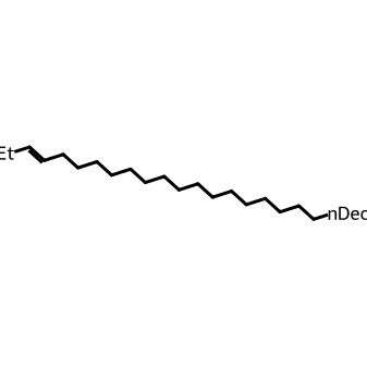 CCC=CCCCCCCCCCCCCCCCCCCCCCCCCCC